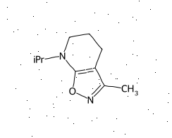 Cc1noc2c1CCCN2C(C)C